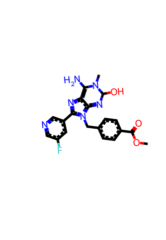 COC(=O)c1ccc(Cn2c(-c3cncc(F)c3)nc3c2=NC(O)N(C)C=3N)cc1